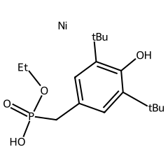 CCOP(=O)(O)Cc1cc(C(C)(C)C)c(O)c(C(C)(C)C)c1.[Ni]